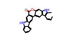 C/C=C\c1c(C)[nH]c2cc3oc(=O)c4cc5[nH]c6ccccc6c5cc4c3cc12